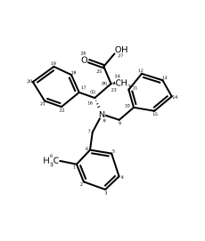 Cc1ccccc1CN(Cc1ccccc1)[C@H](c1ccccc1)[C@@H](C)C(=O)O